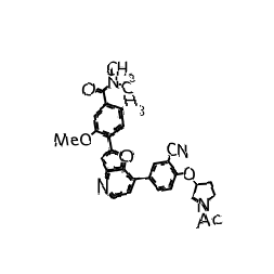 COc1cc(C(=O)N(C)C)ccc1-c1cc2nccc(-c3ccc(OC4CCN(C(C)=O)C4)c(C#N)c3)c2o1